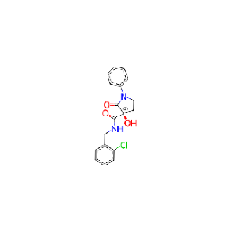 O=C(NCc1ccccc1Cl)[C@@]1(O)CCN(c2ccccc2)C1=O